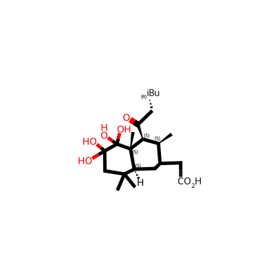 CC[C@@H](C)CC(=O)[C@H]1[C@@H](C)C(CC(=O)O)C[C@H]2C(C)(C)CC(O)(O)C(O)(O)[C@]12C